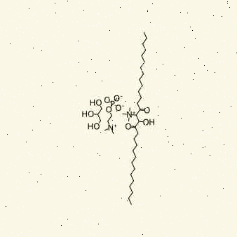 CCCCCCCCCCCCCC(=O)C(O)C(C(=O)CCCCCCCCCCCCC)[N+](C)(C)C.C[N+](C)(C)CCOP(=O)([O-])[O-].OCC(O)CO